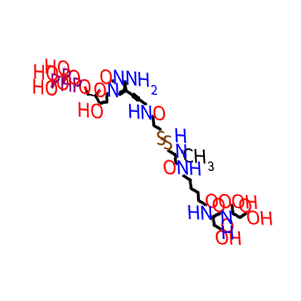 CNC(CSSCCC(=O)NCC#Cc1cn([C@H]2CC(O)[C@@H](COPOP(O)OP(O)O)O2)c(=O)nc1N)C(=O)NCCCCCC(=O)NC(CC(=O)O)C(=O)NC(CC(=O)O)C(=O)O